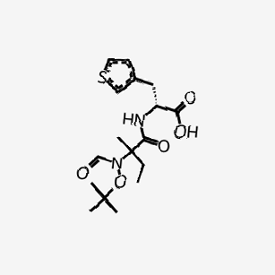 CCC(C)(C(=O)N[C@H](Cc1ccsc1)C(=O)O)N(C=O)OC(C)(C)C